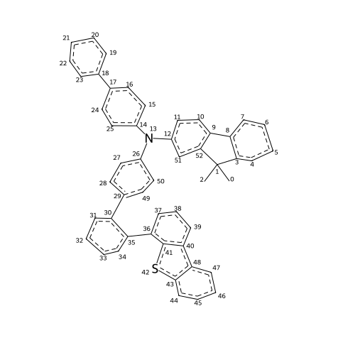 CC1(C)c2ccccc2-c2ccc(N(c3ccc(-c4ccccc4)cc3)c3ccc(-c4ccccc4-c4cccc5c4sc4ccccc45)cc3)cc21